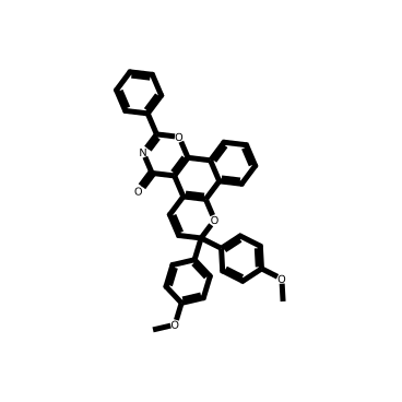 COc1ccc(C2(c3ccc(OC)cc3)C=Cc3c(c4ccccc4c4oc(-c5ccccc5)nc(=O)c34)O2)cc1